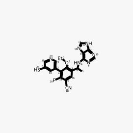 CCOc1c(C(C)Nc2ncnc3[nH]cnc23)cc(C#N)c(F)c1-c1cncc(S)c1